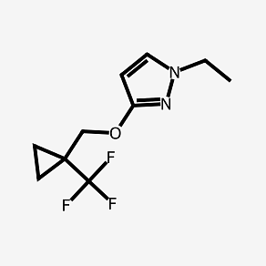 CCn1ccc(OCC2(C(F)(F)F)CC2)n1